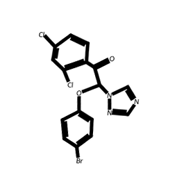 O=C(c1ccc(Cl)cc1Cl)C(Oc1ccc(Br)cc1)n1cncn1